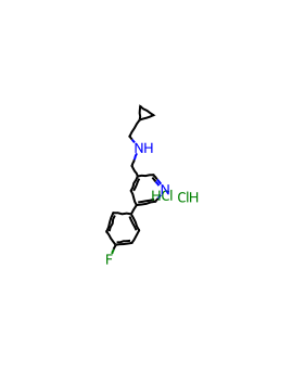 Cl.Cl.Fc1ccc(-c2cncc(CNCC3CC3)c2)cc1